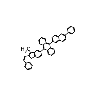 CC1=C(/C=C\c2ccccc2)Cc2ccc(-c3c4ccccc4c(-c4ccc5cc(-c6ccccc6)ccc5c4)c4ccccc34)cc21